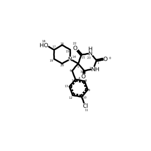 O=C1NC(=O)C(Cc2ccc(Cl)cc2)(N2CCC(O)CC2)C(=O)N1